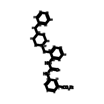 CCOC(=O)c1cccc(NC(=O)Nc2ccccc2CN2CCC(Cc3ccccc3)CC2)c1